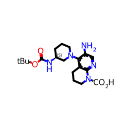 CC(C)(C)OC(=O)N[C@H]1CCCN(c2c(N)cnc3c2CCCN3C(=O)O)C1